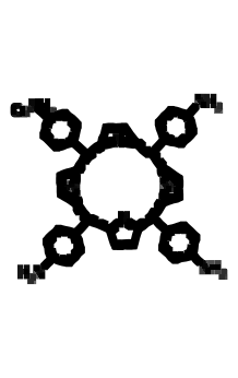 Nc1ccc(-c2c3nc(c(-c4ccc(N)cc4)c4ccc([nH]4)c(-c4ccc(N)cc4)c4nc(c(-c5ccc(N)cc5)c5ccc2[nH]5)C=C4)C=C3)cc1.[Cu]